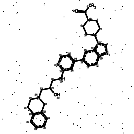 CC(=O)N1CCC(n2cnc3ccc(-c4ccnc(NCC(O)CN5CCc6ccccc6C5)c4)cc32)CC1